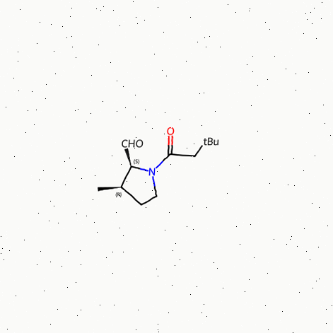 C[C@@H]1CCN(C(=O)CC(C)(C)C)[C@@H]1C=O